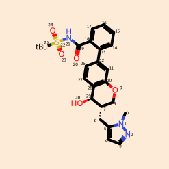 Cn1nccc1C[C@H]1COc2cc(-c3ccccc3C(=O)NS(=O)(=O)C(C)(C)C)ccc2[C@@H]1O